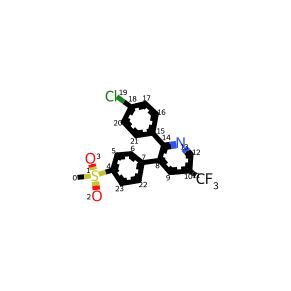 CS(=O)(=O)c1ccc(-c2cc(C(F)(F)F)cnc2-c2ccc(Cl)cc2)cc1